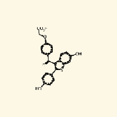 O=C(O)COc1ccc(C(=O)c2c(-c3ccc(O)cc3)sc3cc(O)ccc23)cc1